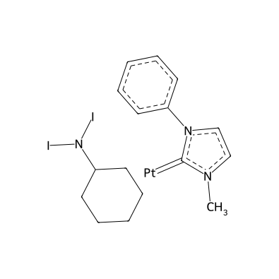 Cn1ccn(-c2ccccc2)[c]1=[Pt].IN(I)C1CCCCC1